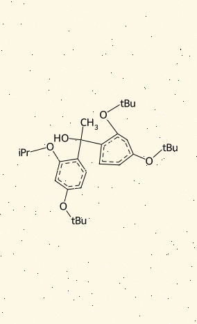 CC(C)Oc1cc(OC(C)(C)C)ccc1C(C)(O)c1ccc(OC(C)(C)C)cc1OC(C)(C)C